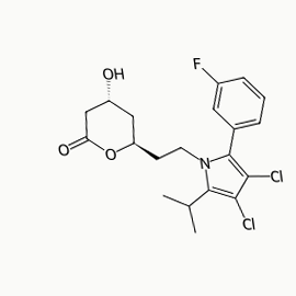 CC(C)c1c(Cl)c(Cl)c(-c2cccc(F)c2)n1CC[C@@H]1C[C@@H](O)CC(=O)O1